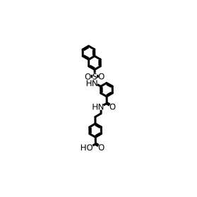 O=C(O)c1ccc(CCNC(=O)c2cccc(NS(=O)(=O)c3ccc4ccccc4c3)c2)cc1